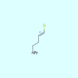 CCCCC/C=C/[S]